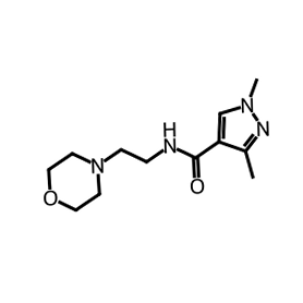 Cc1nn(C)cc1C(=O)NCCN1CCOCC1